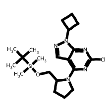 CC(C)(C)[Si](C)(C)OCC1CCCN1c1nc(Cl)nc2c1cnn2C1CCC1